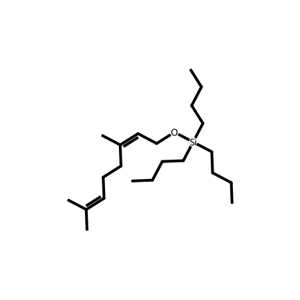 CCCC[Si](CCCC)(CCCC)OCC=C(C)CCC=C(C)C